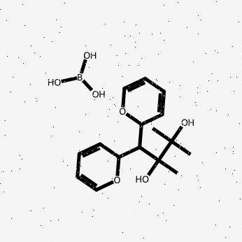 CC(C)(O)C(C)(O)C(C1C=CC=CO1)C1C=CC=CO1.OB(O)O